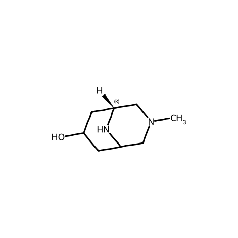 CN1CC2CC(O)C[C@H](C1)N2